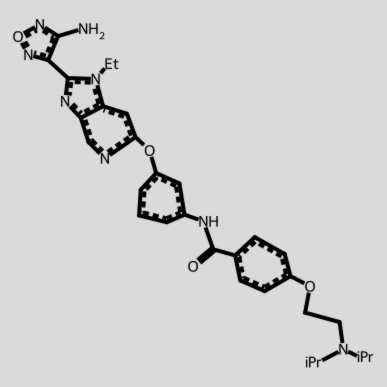 CCn1c(-c2nonc2N)nc2cnc(Oc3cccc(NC(=O)c4ccc(OCCN(C(C)C)C(C)C)cc4)c3)cc21